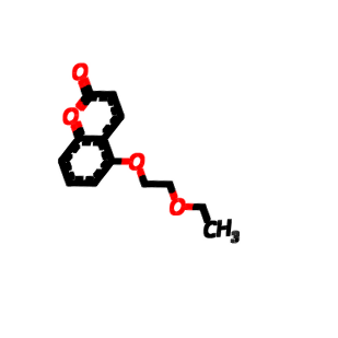 CCOCCOc1cccc2oc(=O)ccc12